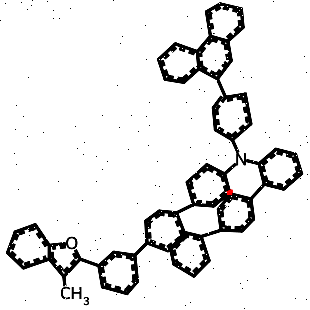 Cc1c(-c2cccc(-c3ccc(-c4ccc(N(c5ccc(-c6cc7ccccc7c7ccccc67)cc5)c5ccccc5-c5ccc(-c6ccccc6)cc5)cc4)cc3)c2)oc2ccccc12